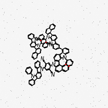 N#Cc1cc(-n2c3ccc4ccccc4c3c3c2ccc2c4c(-c5ccc6c(c5)c5ccc7c8c9ccccc9ccc8n(-c8cc(C#N)c(-n9c%10ccc%11ccccc%11c%10c%10ccc%11c%12ccccc%12n(-c%12ccccc%12)c%11c%109)cc8C#N)c7c5n6-c5ccccc5)cccc4n(-c4ccccc4)c23)c(C#N)cc1-n1c2ccccc2c2c1ccc1c3ccccc3n(-c3ccccc3)c12